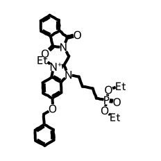 CCOP(=O)(CCCCn1c(CN2C(=O)c3ccccc3C2=O)[n+](CC)c2ccc(OCc3ccccc3)cc21)OCC